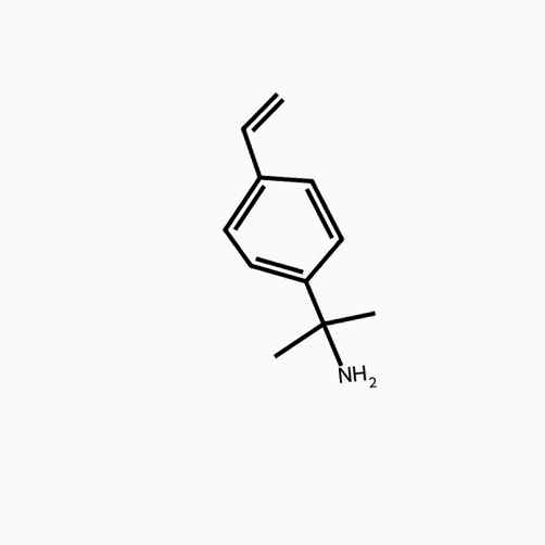 C=Cc1ccc(C(C)(C)N)cc1